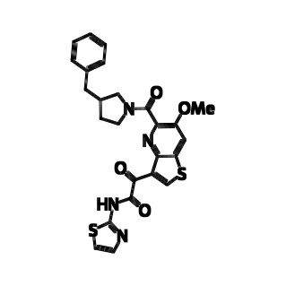 COc1cc2scc(C(=O)C(=O)Nc3nccs3)c2nc1C(=O)N1CCC(Cc2ccccc2)C1